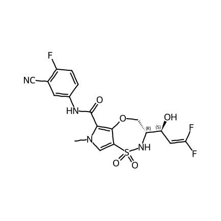 Cn1cc2c(c1C(=O)Nc1ccc(F)c(C#N)c1)OC[C@H]([C@@H](O)C=C(F)F)NS2(=O)=O